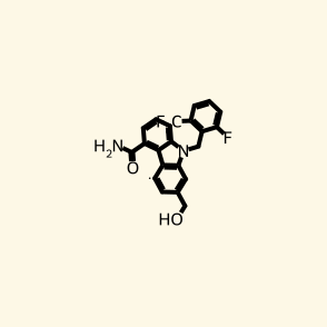 NC(=O)c1cccc2c1c1[c]cc(CO)cc1n2Cc1c(F)cccc1C(F)(F)F